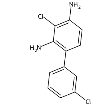 Nc1ccc(-c2cccc(Cl)c2)c(N)c1Cl